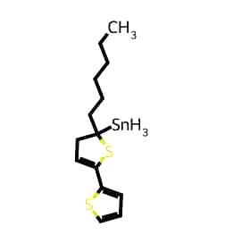 CCCCCC[C]1([SnH3])CC=C(c2cccs2)S1